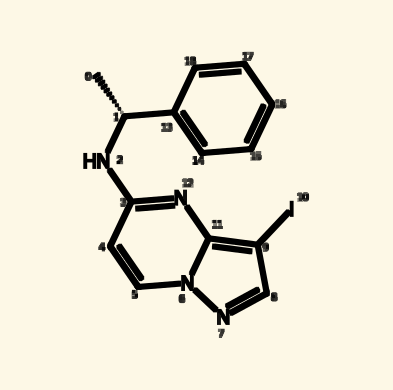 C[C@@H](Nc1ccn2ncc(I)c2n1)c1ccccc1